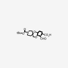 CC(C)(C)OC(=O)N1CCC2(CC1)COc1c(ccc(C(=O)O)c1C=O)O2